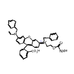 C=CN(Cc1ccccc1)c1ccc2c(-c3ccccc3C(=O)O)c3cc/c(=[N+](\CCOC(=O)NC)Cc4ccccc4)cc-3oc2c1